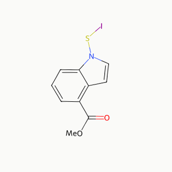 COC(=O)c1cccc2c1ccn2SI